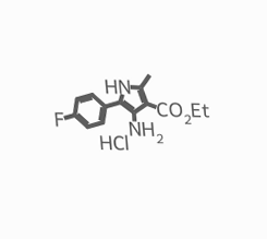 CCOC(=O)c1c(C)[nH]c(-c2ccc(F)cc2)c1N.Cl